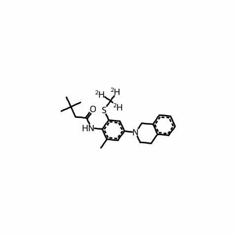 [2H]C([2H])([2H])Sc1cc(N2CCc3ccccc3C2)cc(C)c1NC(=O)CC(C)(C)C